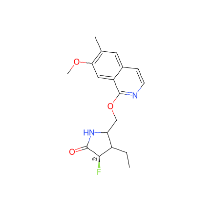 CCC1C(COc2nccc3cc(C)c(OC)cc23)NC(=O)[C@@H]1F